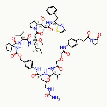 CC[C@H](C)[C@@H]([C@@H](CC(=O)N1CCC[C@H]1[C@H](OC)[C@@H](C)C(=O)N[C@@H](Cc1ccccc1)c1nccs1)OC)N(C)C(=O)[C@@H](NC(=O)C1(NC(=O)OCc2ccc(NC(=O)[C@H](CCCNC(N)=O)NC(=O)[C@@H](NC(=O)COCC(=O)Nc3ccc(CCC(=O)N4CCC4=O)cc3)C(C)C)cc2)CCCC1)C(C)C